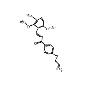 C=CCOc1ccc(C(=O)/C=C/c2c(OC(C)(C)C)ccc(C(C)(C)C)c2OC(C)(C)C)cc1